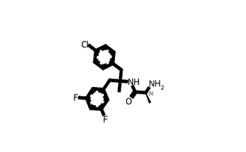 C[C@H](N)C(=O)NC(C)(Cc1ccc(Cl)cc1)Cc1cc(F)cc(F)c1